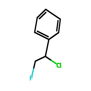 FCC(Cl)c1ccccc1